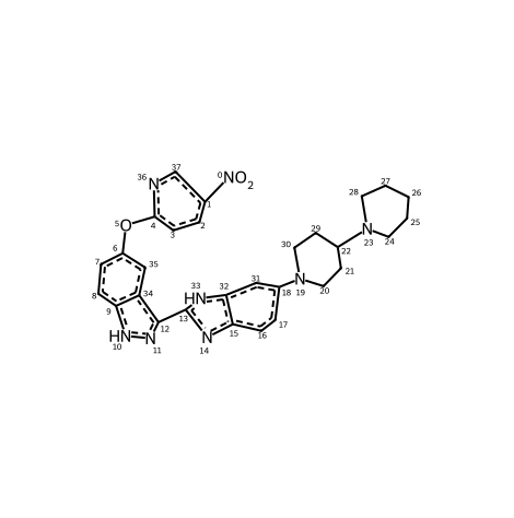 O=[N+]([O-])c1ccc(Oc2ccc3[nH]nc(-c4nc5ccc(N6CCC(N7CCCCC7)CC6)cc5[nH]4)c3c2)nc1